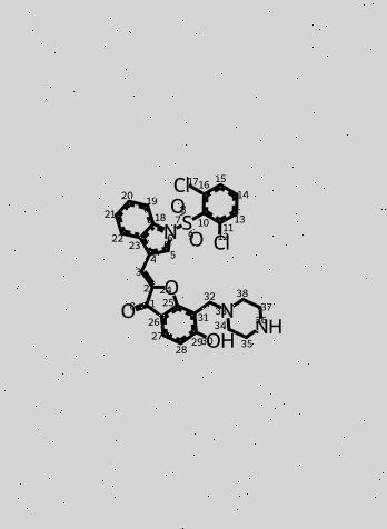 O=C1/C(=C/c2cn(S(=O)(=O)c3c(Cl)cccc3Cl)c3ccccc23)Oc2c1ccc(O)c2CN1CCNCC1